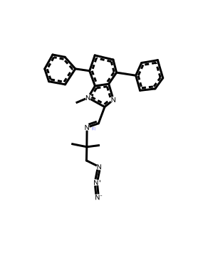 Cn1c(/C=N/C(C)(C)CN=[N+]=[N-])nc2c(-c3ccccc3)ccc(-c3ccccc3)c21